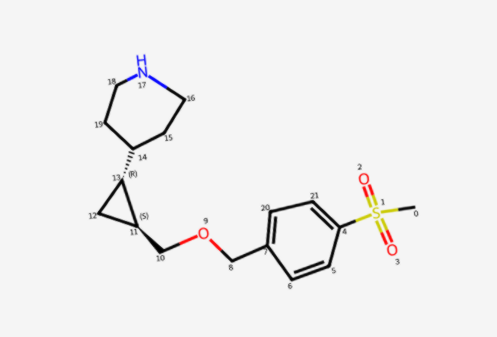 CS(=O)(=O)c1ccc(COC[C@H]2C[C@@H]2C2CCNCC2)cc1